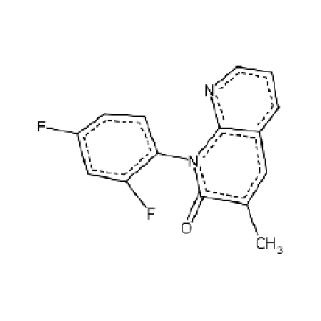 Cc1cc2cccnc2n(-c2ccc(F)cc2F)c1=O